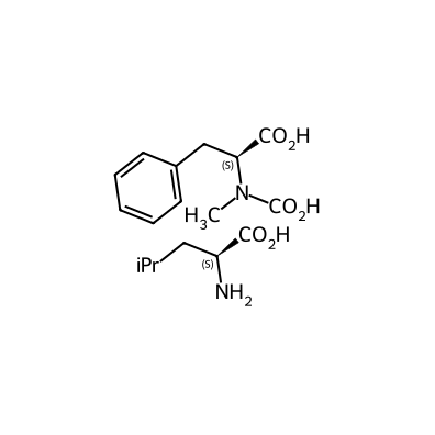 CC(C)C[C@H](N)C(=O)O.CN(C(=O)O)[C@@H](Cc1ccccc1)C(=O)O